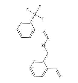 C=Cc1ccccc1CO/N=[C]\c1ccccc1C(F)(F)F